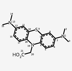 CN(C)c1ccc2c(c1)Sc1cc(N(C)C)ccc1N2CC(=O)O